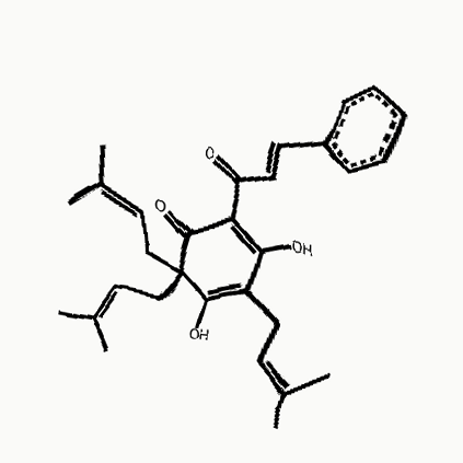 CC(C)=CCC1=C(O)C(CC=C(C)C)(CC=C(C)C)C(=O)C(C(=O)C=Cc2ccccc2)=C1O